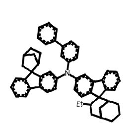 CCC1CC2CCCC(C2)C12c1ccccc1-c1cc(N(c3cccc(-c4ccccc4)c3)c3ccc4c(c3)C3(CC5CCC3C5)c3ccccc3-4)ccc12